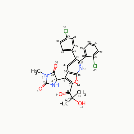 CN1C(=O)NC(c2c(C(=O)C(C)(C)O)oc3nc(-c4ccccc4Cl)c(-c4ccc(Cl)cc4)cc23)C1=O